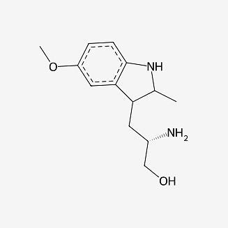 COc1ccc2c(c1)C(C[C@H](N)CO)C(C)N2